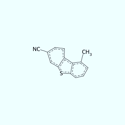 Cc1cccc2sc3cc(C#N)ccc3c12